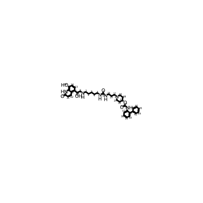 O=C(NCCCCCNC[C@@H](O)c1ccc(O)c2[nH]c(=O)ccc12)NCCCN1CCC(OC(=O)Nc2ccccc2-c2ccccc2)CC1